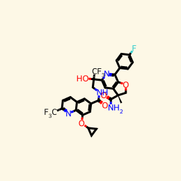 C[C@]1(C(N)=O)COc2c1cc(C(O)(CNC(=O)c1cc(OC3CC3)c3nc(C(F)(F)F)ccc3c1)C(F)(F)F)nc2-c1ccc(F)cc1